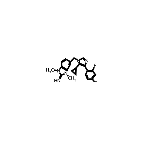 Cn1c(=N)n(C)c2cc(Cn3cnc(-c4ccc(F)cc4F)c3C3CC3)ccc21